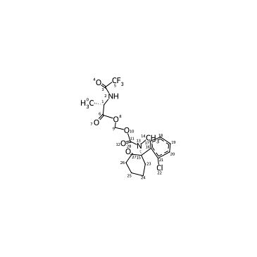 C[C@H](NC(=O)C(F)(F)F)C(=O)OCOC(=O)N(C)[C@]1(c2ccccc2Cl)CCCCC1=O